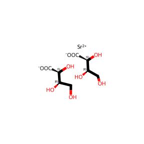 O=C([O-])[C@@H](O)[C@H](O)CO.O=C([O-])[C@@H](O)[C@H](O)CO.[Sr+2]